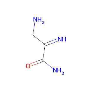 N=C(CN)C(N)=O